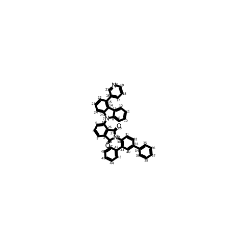 O=C1c2cccc(-n3c4ccccc4c4c(-c5cccnc5)cccc43)c2C(=O)N1c1ccc(-c2ccccc2)cc1-c1ccccc1